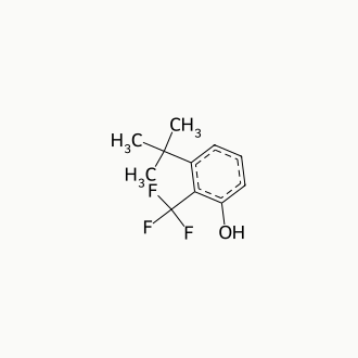 CC(C)(C)c1cccc(O)c1C(F)(F)F